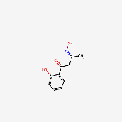 CC(CC(=O)c1ccccc1O)=NO